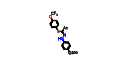 COc1ccc(NN=C(Sc2ccc(OC(F)(F)F)cc2)C(C)=O)cc1